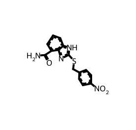 NC(=O)c1cccc2[nH]c(SCc3ccc([N+](=O)[O-])cc3)nc12